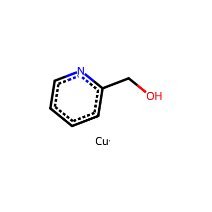 OCc1ccccn1.[Cu]